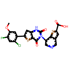 COc1cc(-c2cc3[nH]c(=O)n(-c4cncc5cc(C(=O)O)sc45)c(=O)c3s2)c(Cl)cc1F